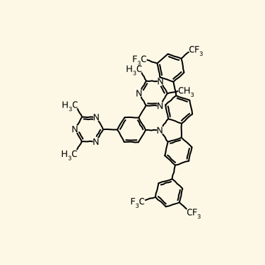 Cc1nc(C)nc(-c2ccc(-n3c4cc(-c5cc(C(F)(F)F)cc(C(F)(F)F)c5)ccc4c4ccc(-c5cc(C(F)(F)F)cc(C(F)(F)F)c5)cc43)c(-c3nc(C)nc(C)n3)c2)n1